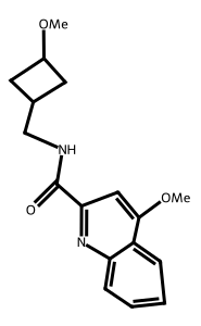 COc1cc(C(=O)NCC2CC(OC)C2)nc2ccccc12